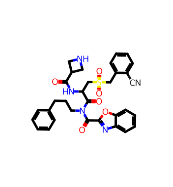 N#Cc1ccccc1CS(=O)(=O)CC(NC(=O)C1CNC1)C(=O)N(CCCc1ccccc1)C(=O)c1nc2ccccc2o1